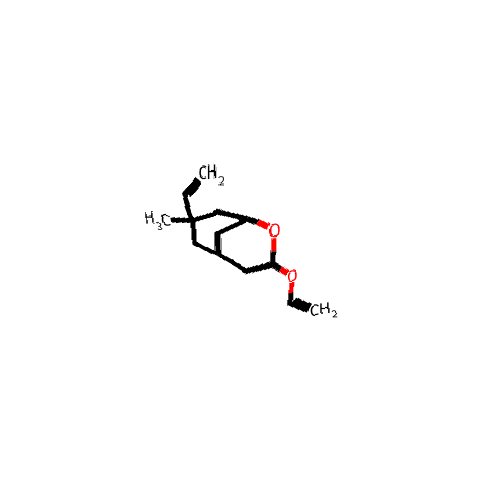 C=COC1CC2CC(CC(C)(C=C)C2)O1